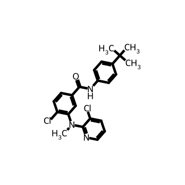 CN(c1cc(C(=O)Nc2ccc(C(C)(C)C)cc2)ccc1Cl)c1ncccc1Cl